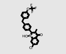 Cc1c(-c2ccc(Cc3ccc(OC(F)(F)F)cc3)cc2)n(O)c2cc(Cl)ccc2c1=O